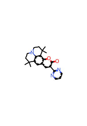 CC1(C)CCN2CCC(C)(C)c3c2c1cc1cc(-c2ncccn2)c(=O)oc31